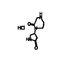 Cl.O=C1CC(N2CCNCC2=O)CN1